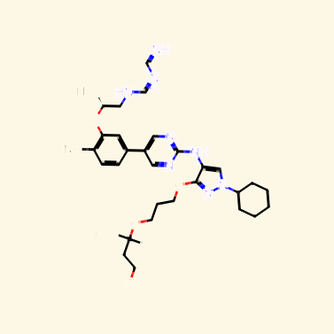 C[C@@H](CN/C=N\C=N)Oc1cc(-c2cnc(Nc3cn(C4CCCCC4)nc3OCCCOC(C)(C)CCO)nc2)ccc1C#N